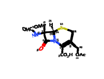 COC1(NC=O)C(=O)N2C(C(=O)O)=C(COC(C)=O)CS[C@@H]21